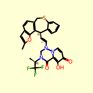 Cc1cc2ccc3c(c2o1)[C@H](/C=C/N1CN([C@H](C)C(F)(F)F)C(=O)c2c(O)c(=O)ccn21)c1ccccc1SC3